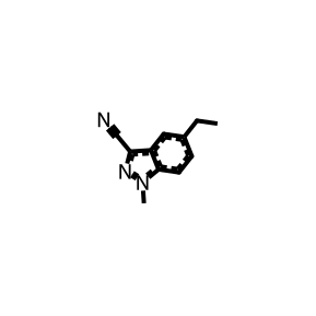 CCc1ccc2c(c1)c(C#N)nn2C